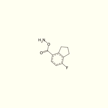 NOC(=O)c1ccc(F)c2c1CCC2